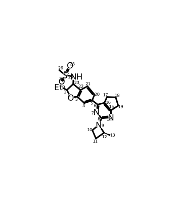 CCC1Oc2cc(-c3nc(N4CC[C@@H]4C)nc4c3CCC4)ccc2C1NS(C)(=O)=O